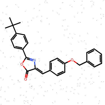 CC(C)(C)c1ccc(C2=N/C(=C\c3ccc(OCc4ccccc4)cc3)C(=O)O2)cc1